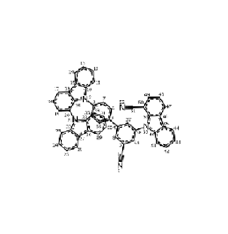 N#Cc1cc(-c2ccc(-n3c4ccccc4c4cccc(-n5c6ccccc6c6ccccc65)c43)cc2)cc(-n2c3ccccc3c3cccc(C#N)c32)c1